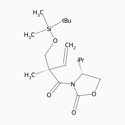 C=C[C@](C)(CO[Si](C)(C)C(C)(C)C)C(=O)N1C(=O)OC[C@H]1C(C)C